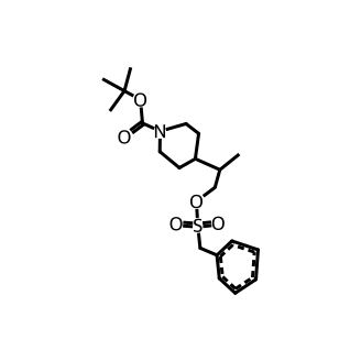 CC(COS(=O)(=O)Cc1ccccc1)C1CCN(C(=O)OC(C)(C)C)CC1